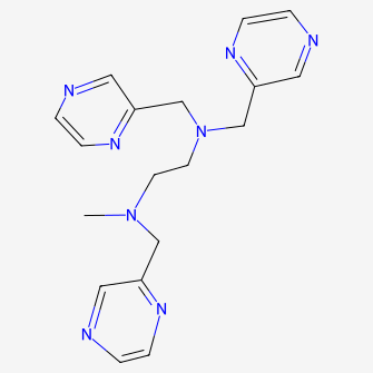 CN(CCN(Cc1cnccn1)Cc1cnccn1)Cc1cnccn1